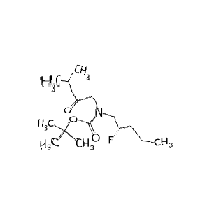 CCC[C@H](F)CN(CC(=O)C(C)C)C(=O)OC(C)(C)C